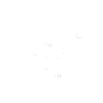 CC(N)O.COS(=O)(=O)O